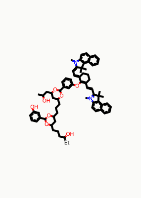 CCC(O)CCCC1CC(CCCC2CC(CC(C)O)OC(c3cccc(OC4=C(/C=C/C5=[N+](C)c6ccc7ccccc7c6C5(C)C)CCC/C4=C\C=C4\N(C)c5ccc6ccccc6c5C4(C)C)c3)O2)OC(c2cccc(O)c2)O1